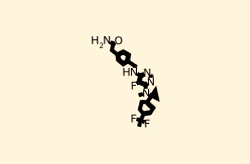 CN(c1ncnc(NCc2ccc(CC(N)=O)cc2)c1F)C1(C2=CC=C(C(C)(F)F)CC2)CC1